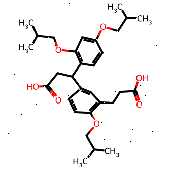 CC(C)COc1ccc(C(CC(=O)O)c2ccc(OCC(C)C)c(CCC(=O)O)c2)c(OCC(C)C)c1